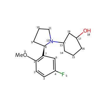 COc1ccc(F)cc1[C@H]1CCCN1[C]1CCCC(O)C1